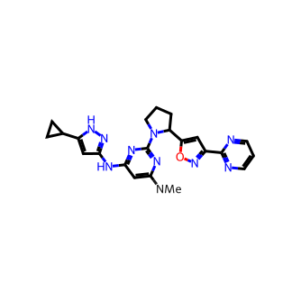 CNc1cc(Nc2cc(C3CC3)[nH]n2)nc(N2CCCC2c2cc(-c3ncccn3)no2)n1